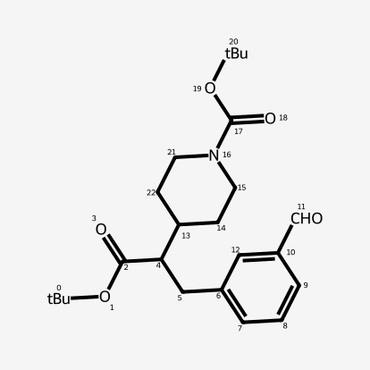 CC(C)(C)OC(=O)C(Cc1cccc(C=O)c1)C1CCN(C(=O)OC(C)(C)C)CC1